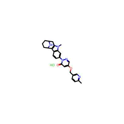 Cc1ccc(COc2cnn(-c3ccc4c5c(n(C)c4c3)CC3CCCC5N3)c(=O)c2)cn1.Cl